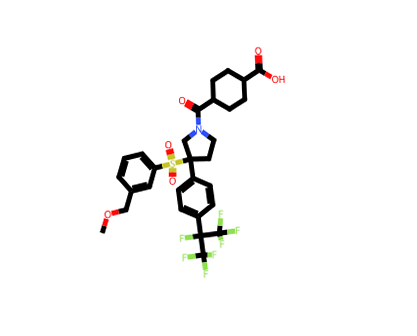 COCc1cccc(S(=O)(=O)C2(c3ccc(C(F)(C(F)(F)F)C(F)(F)F)cc3)CCN(C(=O)C3CCC(C(=O)O)CC3)C2)c1